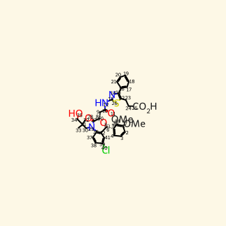 COc1cccc([C@H]2O[C@H](CC(=O)Nc3nc(-c4ccccc4)c(CCC(=O)O)s3)C(=O)N(CC(C)(C)CO)c3ccc(Cl)cc32)c1OC